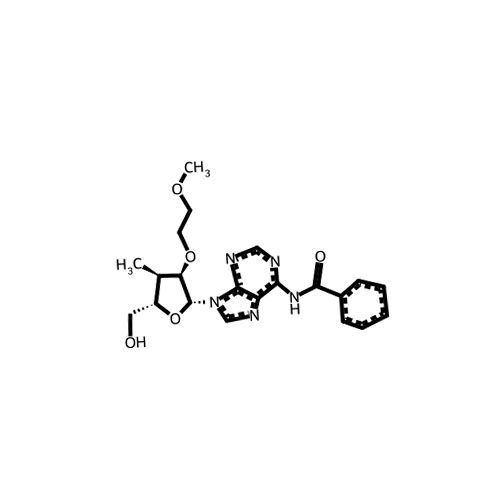 COCCO[C@@H]1[C@H](C)[C@@H](CO)O[C@H]1n1cnc2c(NC(=O)c3ccccc3)ncnc21